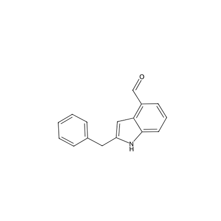 O=Cc1cccc2[nH]c(Cc3ccccc3)cc12